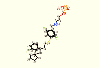 O=[PH](O)OCCCNCc1cc(F)c(SCCCCC2(c3ccccc3F)CCCC2)cc1F